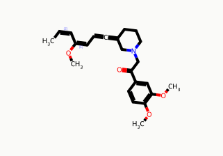 C/C=C\C(=C/C=C=C1CCCN(CC(=O)c2ccc(OC)c(OC)c2)C1)OC